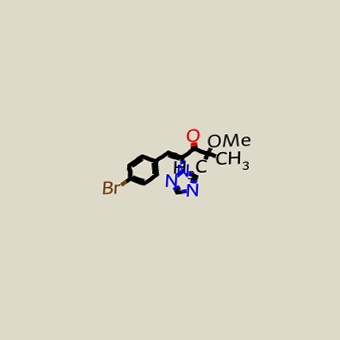 COC(C)(C)C(=O)C(=Cc1ccc(Br)cc1)n1cncn1